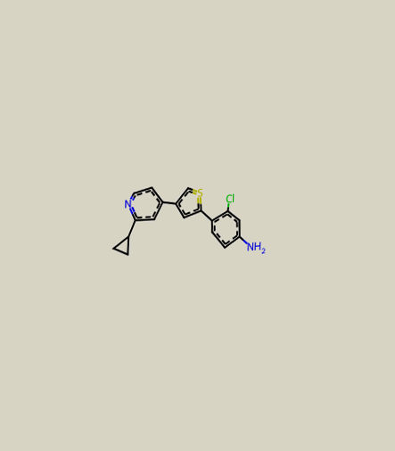 Nc1ccc(-c2cc(-c3ccnc(C4CC4)c3)cs2)c(Cl)c1